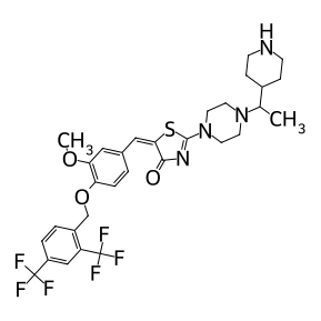 COc1cc(C=C2SC(N3CCN(C(C)C4CCNCC4)CC3)=NC2=O)ccc1OCc1ccc(C(F)(F)F)cc1C(F)(F)F